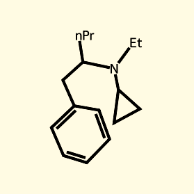 CCCC(Cc1ccccc1)N(CC)C1CC1